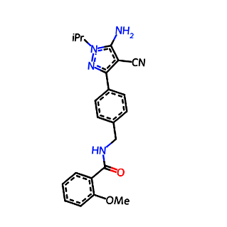 COc1ccccc1C(=O)NCc1ccc(-c2nn(C(C)C)c(N)c2C#N)cc1